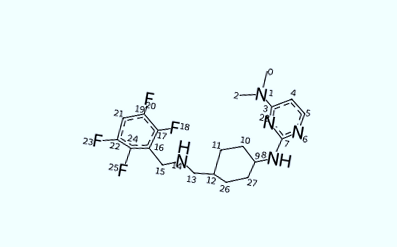 CN(C)c1ccnc(NC2CCC(CNCc3c(F)c(F)cc(F)c3F)CC2)n1